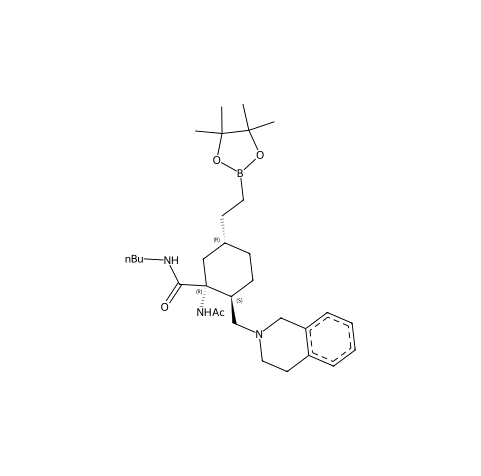 CCCCNC(=O)[C@@]1(NC(C)=O)C[C@H](CCB2OC(C)(C)C(C)(C)O2)CC[C@H]1CN1CCc2ccccc2C1